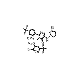 CCN1CCC[C@@H](Nc2nnc(-c3ccc(C(C)(F)F)cc3OC)n(C)c2=O)C1.COc1cc(C(C)(F)F)ccc1Br